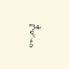 CC(N)(CO)CCc1ccc(C(=O)CCCOCc2ccccc2)s1